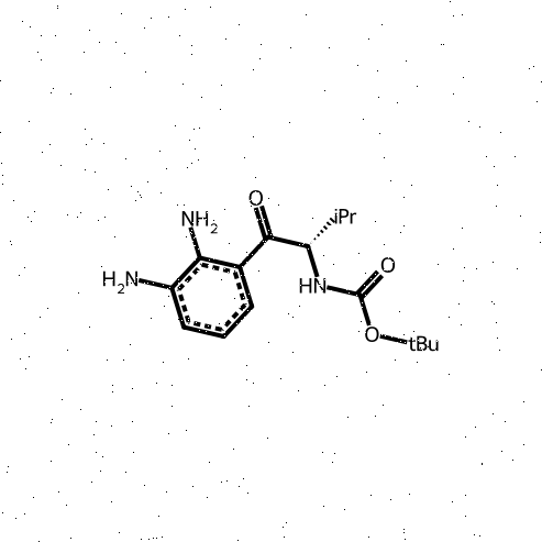 CC(C)[C@H](NC(=O)OC(C)(C)C)C(=O)c1cccc(N)c1N